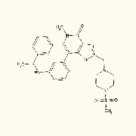 CC(Nc1cccc(-c2cn(C)c(=O)c3cc(CN4CCN(S(C)(=O)=O)CC4)oc23)c1)c1ccccc1